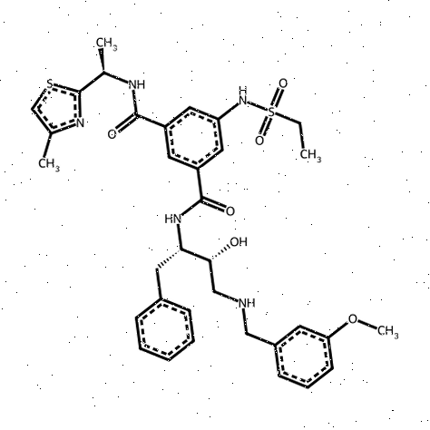 CCS(=O)(=O)Nc1cc(C(=O)N[C@@H](Cc2ccccc2)[C@H](O)CNCc2cccc(OC)c2)cc(C(=O)N[C@H](C)c2nc(C)cs2)c1